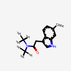 [2H]C([2H])([2H])N(C(=O)Cc1c[nH]c2cc(OC)ccc12)C([2H])([2H])[2H]